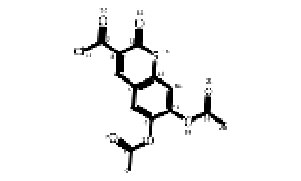 CC(=O)Oc1cc2cc(C(=O)Cl)c(=O)sc2cc1OC(C)=O